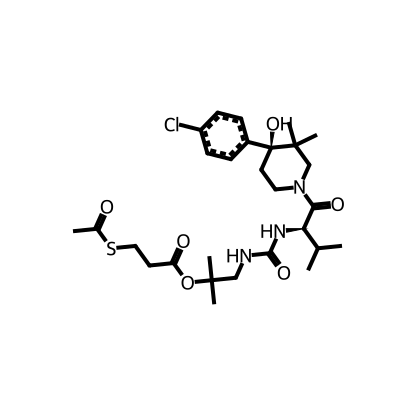 CC(=O)SCCC(=O)OC(C)(C)CNC(=O)N[C@@H](C(=O)N1CC[C@](O)(c2ccc(Cl)cc2)C(C)(C)C1)C(C)C